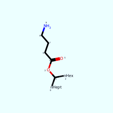 CCCCCCCC(CCCCCC)OC(=O)CCCN